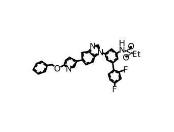 CCS(=O)(=O)Nc1cc(-c2ccc(F)cc2F)cc(-n2cnc3cc(-c4ccc(OCc5ccccc5)nc4)ccc32)c1